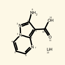 Nc1nn2cccnc2c1C(=O)O.[LiH]